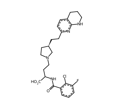 O=C(NC(CCN1CC[C@@H](CCc2ccc3c(n2)NCCC3)C1)C(=O)O)c1cccc(F)c1Cl